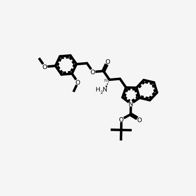 COc1ccc(COC(=O)[C@@H](N)Cc2cn(C(=O)OC(C)(C)C)c3ccccc23)c(OC)c1